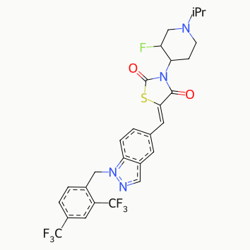 CC(C)N1CCC(N2C(=O)S/C(=C\c3ccc4c(cnn4Cc4ccc(C(F)(F)F)cc4C(F)(F)F)c3)C2=O)C(F)C1